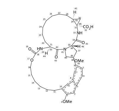 COc1cc2ccc3cc2cc1CCCCCCOC(=O)N[C@H]1CCCCCCC[C@H]2C[C@@]2(C(=O)O)NC(=O)[C@@H]2C[C@]3(OC)CN2C1=O